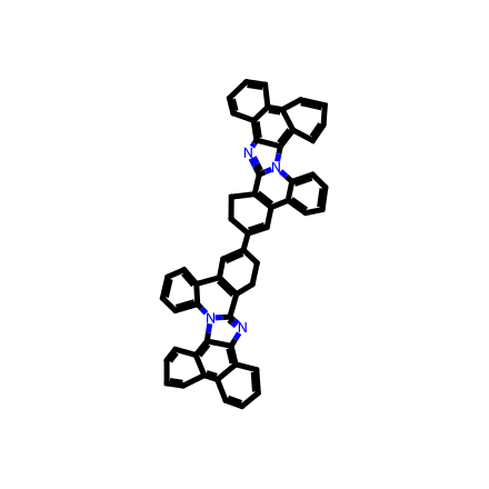 C1=C(C2=Cc3c(c4nc5c6ccccc6c6ccccc6c5n4c4ccccc34)CC2)CCc2c1c1ccccc1n1c2nc2c3ccccc3c3ccccc3c21